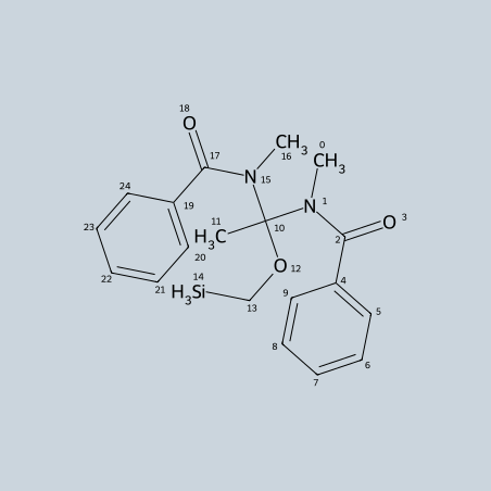 CN(C(=O)c1ccccc1)C(C)(OC[SiH3])N(C)C(=O)c1ccccc1